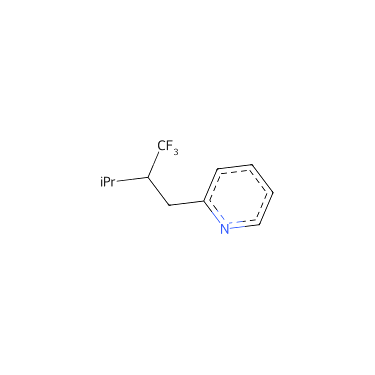 CC(C)C(Cc1ccccn1)C(F)(F)F